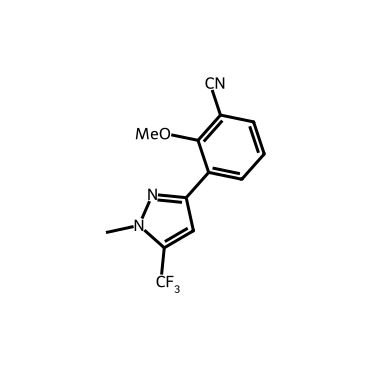 COc1c(C#N)cccc1-c1cc(C(F)(F)F)n(C)n1